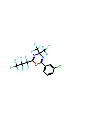 FC(F)(F)C(F)(F)C(F)(F)C1=NC(C(F)(F)F)(C(F)(F)F)N=C(c2cccc(Cl)c2)O1